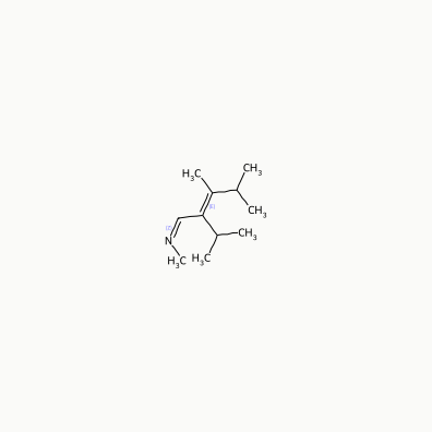 C/N=C\C(=C(/C)C(C)C)C(C)C